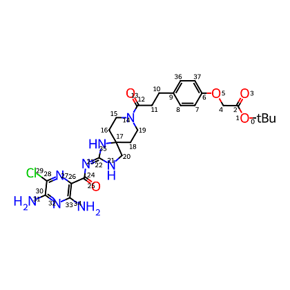 CC(C)(C)OC(=O)COc1ccc(CCC(=O)N2CCC3(CC2)CN/C(=N\C(=O)c2nc(Cl)c(N)nc2N)N3)cc1